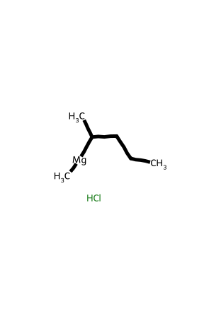 CCC[CH](C)[Mg][CH3].Cl